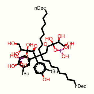 CCCCCCCCCCCCCCCCCCC(CCCCCCCCCCCCCCCCCC)(CC(=O)C(O)(OP(O)O)C(O)CO)C(C(=O)C(O)(OP(O)O)C(O)CO)(c1ccc(O)c(C(C)(C)C)c1)c1ccc(O)c(C(C)(C)C)c1